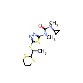 CC(Sc1nnc(N(C)C(=O)N(C)C2CC2)s1)C1SCCCS1